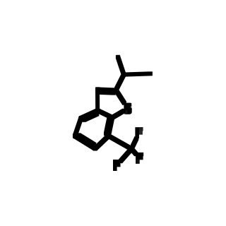 CC(C)c1cc2cccc(C(F)(F)F)c2s1